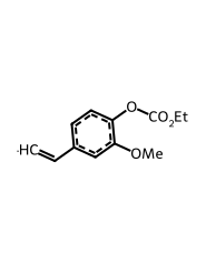 [CH]=Cc1ccc(OC(=O)OCC)c(OC)c1